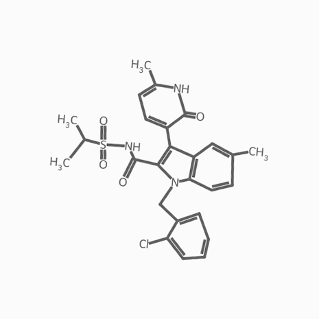 Cc1ccc2c(c1)c(-c1ccc(C)[nH]c1=O)c(C(=O)NS(=O)(=O)C(C)C)n2Cc1ccccc1Cl